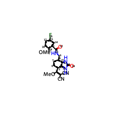 COC(=C(C#N)C#N)c1ccc(CNC(=O)c2cc(F)ccc2OC)c2[nH]c(=O)[nH]c12